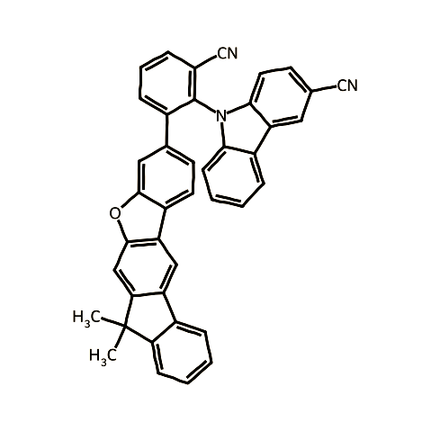 CC1(C)c2ccccc2-c2cc3c(cc21)oc1cc(-c2cccc(C#N)c2-n2c4ccccc4c4cc(C#N)ccc42)ccc13